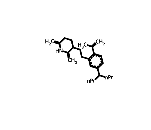 C=C1CCC(CCc2cc(C(CCC)CCC)ccc2C(=C)C)C(=C)N1